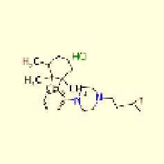 CC1CCCC(C)(c2ccccc2N2CCN(CCC3CC3)CC2)C1(C)C.Cl